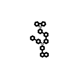 c1ccc(-c2ccc(N(c3ccc(-c4cccc5ccccc45)cc3)c3cccc(-c4cccc(-c5cccc(-n6c7ccccc7c7ccccc76)c5)c4)c3)cc2)cc1